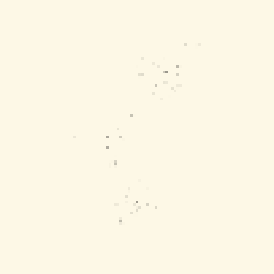 CC(C1CCCC1)N(CCNCCc1ccc(O)c2c1OCC(=O)N2)C(=O)CCOCCc1ccc(O)c(C2(c3ccccc3)CN(C3CCC3)C2)c1